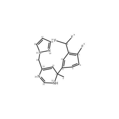 CC1(c2ccc(F)c(C(F)F)c2)C=C(Cn2cccn2)N=CN1